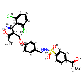 COC(=O)c1ccc(S(=O)(=O)NCc2ccc(OCc3c(-c4c(Cl)cccc4Cl)noc3C(C)C)cc2)cc1